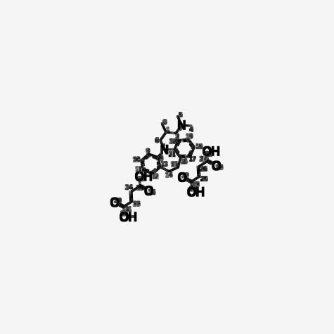 CC(CN(C)C)CN1c2ccccc2CCc2ccccc21.O=C(O)C=CC(=O)O.O=C(O)C=CC(=O)O